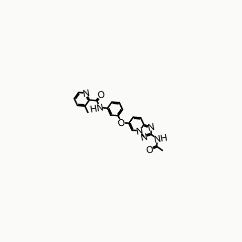 CC(=O)Nc1nc2ccc(Oc3cccc(NC(=O)c4ncccc4C)c3)cn2n1